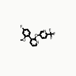 COc1cc(F)ccc1-c1cccnc1Oc1ccc(C(F)(F)F)nc1